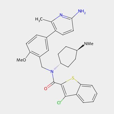 CN[C@H]1CC[C@H](N(Cc2cc(-c3ccc(N)nc3C)ccc2OC)C(=O)c2sc3ccccc3c2Cl)CC1